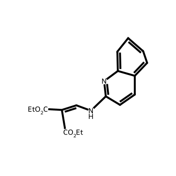 CCOC(=O)C(=CNc1ccc2ccccc2n1)C(=O)OCC